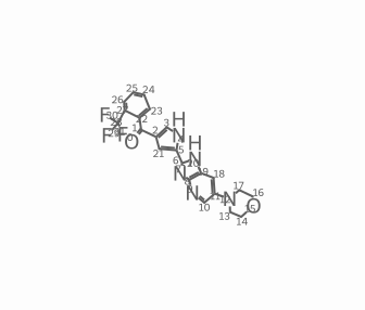 O=C(c1c[nH]c(-c2nc3ncc(N4CCOCC4)cc3[nH]2)c1)c1ccccc1C(F)(F)F